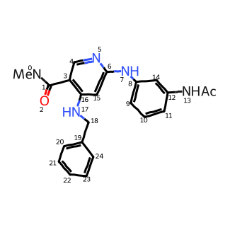 CNC(=O)c1cnc(Nc2cccc(NC(C)=O)c2)cc1NCc1ccccc1